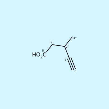 C#CC(C)CC(=O)O